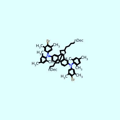 CCCCCCCCCCCCCCC1C[C@]23CC(CCCCCCCCCCCCCC)C[C@@]2(C1)c1cc(N(c2cc(C)c(Br)c(C)c2)c2c(C)cc(C)cc2C)ccc1-c1ccc(N(c2cc(C)c(Br)c(C)c2)c2c(C)cc(C)cc2C)cc13